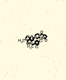 C[C@@H](Nc1cc(N2CCN(C(=O)[C@H]3CCC(=O)N3)CC2)nc2ncn(C)c(=O)c12)c1ccc(Cl)cc1Cl